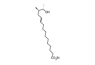 CCOC(=O)CCCCCCCCC/C=C/C[C@@H](C)[C@H](C)O